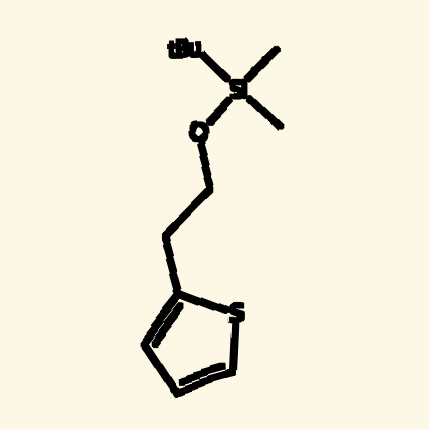 CC(C)(C)[Si](C)(C)OCCc1cccs1